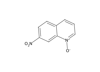 O=[N+]([O-])c1ccc2ccc[n+]([O-])c2c1